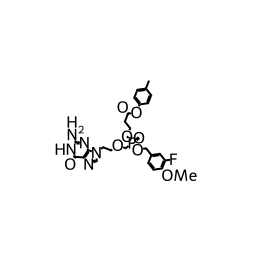 COc1ccc(COP(=O)(COCCn2cnc3c(=O)[nH]c(N)nc32)OCCC(=O)Oc2ccc(C)cc2)cc1F